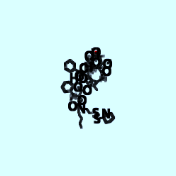 CCCCN(CCSSc1ccccn1)C(=O)OC(C(=O)OC1C[C@@]2(O)[C@@H](OC(=O)c3ccccc3)[C@H]3C(C)(C(=O)[C@H](C)C(=C1C)C2(C)C)C(OC)C[C@H]1OC[C@]13OC(C)=O)[C@@H](C)c1ccccc1